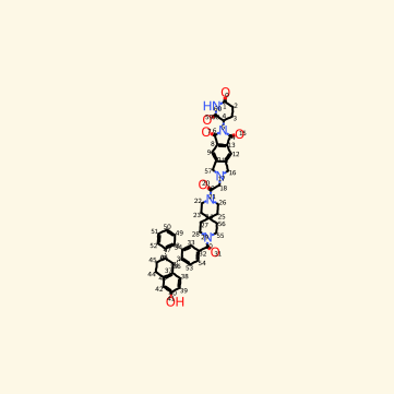 O=C1CCC(N2C(=O)c3cc4c(cc3C2=O)CN(CC(=O)N2CCC3(CC2)CCN(C(=O)c2ccc([C@@H]5c6ccc(O)cc6CC[C@@H]5c5ccccc5)cc2)CC3)C4)C(=O)N1